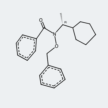 C[C@H](C1CCCCC1)N(OCc1ccccc1)C(=O)c1ccccc1